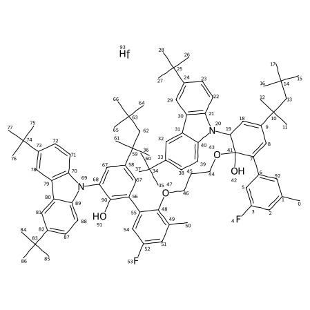 Cc1cc(F)cc(C2=CC(C(C)(C)CC(C)(C)C)=CC(n3c4ccc(C(C)(C)C)cc4c4cc(C(C)(C)C)ccc43)C2(O)OCCCOc2c(C)cc(F)cc2-c2cc(C(C)(C)CC(C)(C)C)cc(-n3c4ccc(C(C)(C)C)cc4c4cc(C(C)(C)C)ccc43)c2O)c1.[Hf]